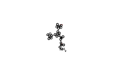 Nc1cccc(-n2c3ccccc3c3cc(-c4ccc5c(c4)c4ccccc4n5-c4cc5c6c(c4)Oc4cc(-c7cc8c9c(c7)Oc7ccccc7N9c7ccccc7O8)ccc4N6c4ccc(-c6cc7c8c(c6)Oc6ccccc6N8c6ccccc6O7)cc4O5)ccc32)c1